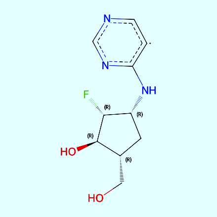 OC[C@H]1C[C@@H](Nc2[c]cncn2)[C@@H](F)[C@@H]1O